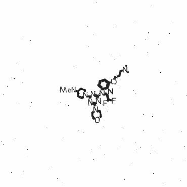 CNC1CCN(c2nc(N3CCOCC3)nc(-n3c(C(F)F)nc4c(OCCCN(C)C)cccc43)n2)CC1